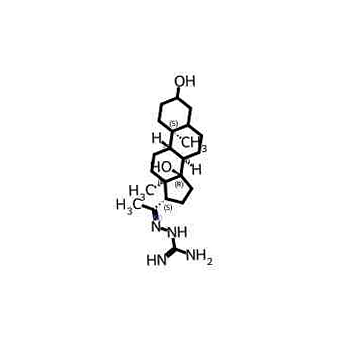 C/C(=N/NC(=N)N)[C@H]1CC[C@@]2(O)[C@@H]3CCC4CC(O)CC[C@]4(C)[C@H]3CC[C@]12C